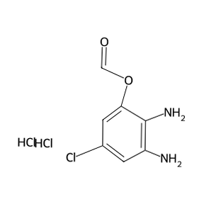 Cl.Cl.Nc1cc(Cl)cc(OC=O)c1N